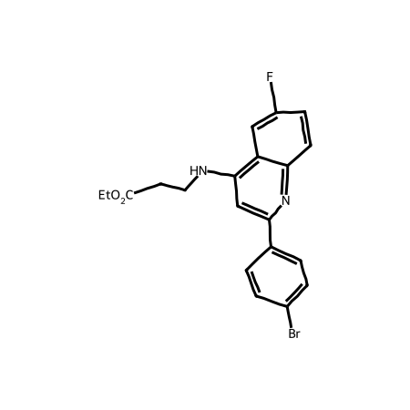 CCOC(=O)CCNc1cc(-c2ccc(Br)cc2)nc2ccc(F)cc12